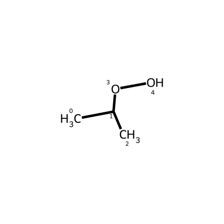 CC(C)OO